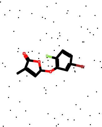 CC1=CC(Oc2cc(Br)ccc2F)OC1=O